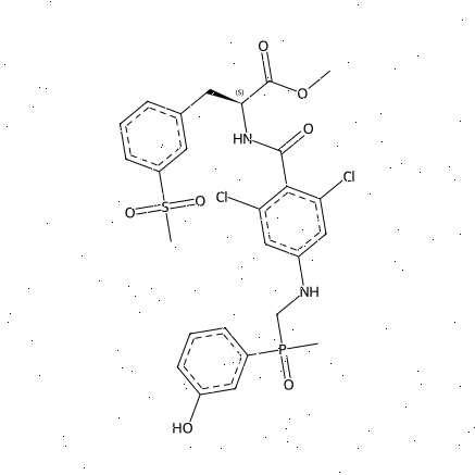 COC(=O)[C@H](Cc1cccc(S(C)(=O)=O)c1)NC(=O)c1c(Cl)cc(NCP(C)(=O)c2cccc(O)c2)cc1Cl